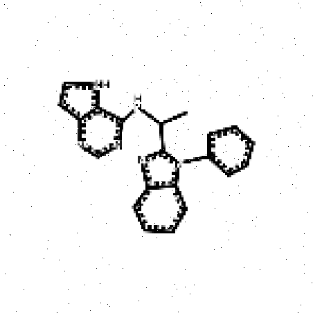 CC(Nc1ncnc2cc[nH]c12)c1nc2ccccc2n1-c1ccccc1